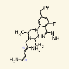 CC(C)Cc1cc(F)c(C(=N)N=N)c(N2CC(C)N(C/C(N)=C/C=C\N)C(C)C2)c1